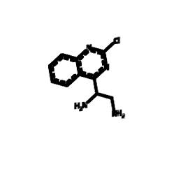 NCC(N)c1nc(Cl)nc2ccccc12